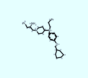 CC(C)CCN(c1ccc(OCC2CCCCC2)cc1)C1CCN(C[C@H](N)CC(C)C)CC1